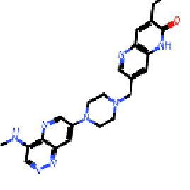 CCc1cc2ncc(CN3CCN(c4cnc5c(NC)cnnc5c4)CC3)cc2[nH]c1=O